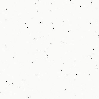 CNC1CNCC1OC.Cl